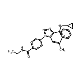 CCNC(=O)c1ccc(-n2nnc(C(=O)NC3CC3)c2/C=C(/C)c2ccccc2)cc1